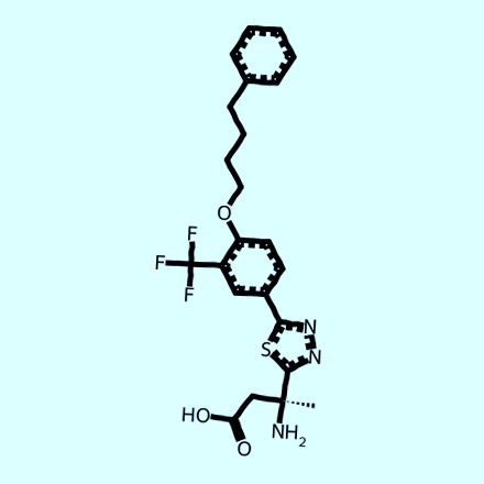 C[C@](N)(CC(=O)O)c1nnc(-c2ccc(OCCCCc3ccccc3)c(C(F)(F)F)c2)s1